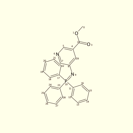 COC(=O)c1cncc(N=P(c2ccccc2)(c2ccccc2)c2ccccc2)c1